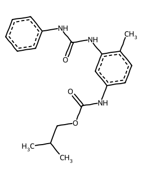 Cc1ccc(NC(=O)OCC(C)C)cc1NC(=O)Nc1ccccc1